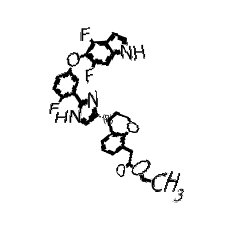 CCOC(=O)Cc1cccc2c1OCC[C@H]2c1c[nH]c(-c2cc(Oc3c(F)cc4[nH]ccc4c3F)ccc2F)n1